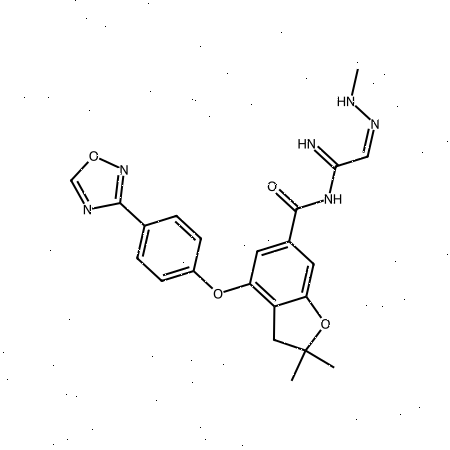 CN/N=C\C(=N)NC(=O)c1cc(Oc2ccc(-c3ncon3)cc2)c2c(c1)OC(C)(C)C2